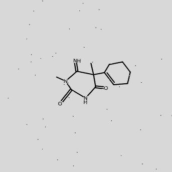 CN1C(=N)C(C)(C2=CCCCC2)C(=O)NC1=O